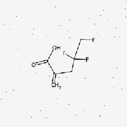 C=C(CC(F)(F)CF)C(=O)O